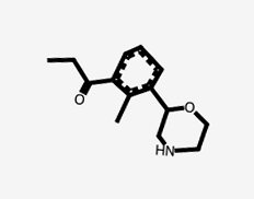 CCC(=O)c1cccc(C2CNCCO2)c1C